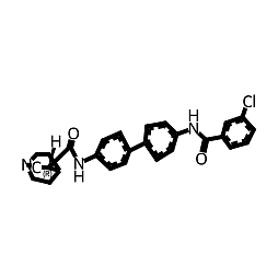 O=C(Nc1ccc(-c2ccc(NC(=O)[C@H]3CN4CCC3CC4)cc2)cc1)c1cccc(Cl)c1